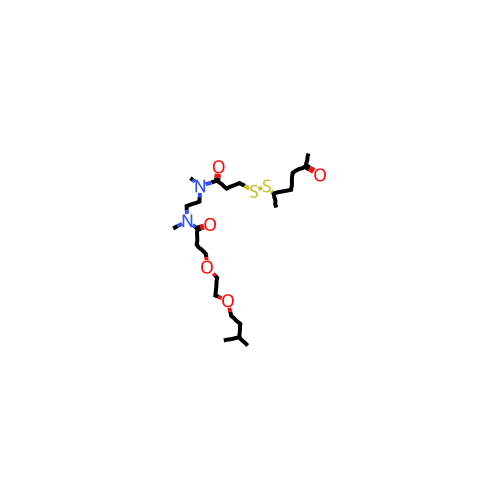 CC(=O)CCC(C)SSCCC(=O)N(C)CCN(C)C(=O)CCOCCOCCC(C)C